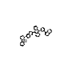 C1=C(c2cccc(-c3c4ccccc4c(-c4ccc5cc(-c6cccc7c6oc6ccccc67)ccc5c4)c4ccccc34)c2)c2ccccc2CC1